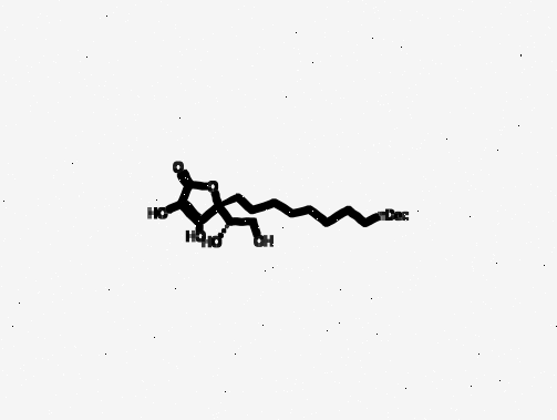 CCCCCCCCCCCCCCCCCC[C@]1([C@@H](O)CO)OC(=O)C(O)=C1O